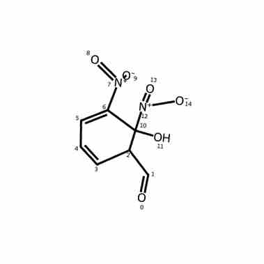 O=CC1C=CC=C([N+](=O)[O-])C1(O)[N+](=O)[O-]